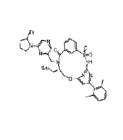 Cc1cccc(C)c1-c1cc2nc(n1)NS(=O)(=O)c1cccc(c1)C(=O)N(Cc1cncc(N3CCCC3C(C)C)n1)[C@H](CC(C)(C)C)CO2